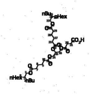 CCCCCCC(CCCC)COC(=O)CCCCC(=O)OC[C@H](COC(=O)CCC(=O)O)OC(=O)CCCCC(=O)OCC(CCCC)CCCCCC